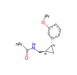 CCCC(=O)NC[C@@H]1C[C@H]1c1cccc(OC(C)C)c1